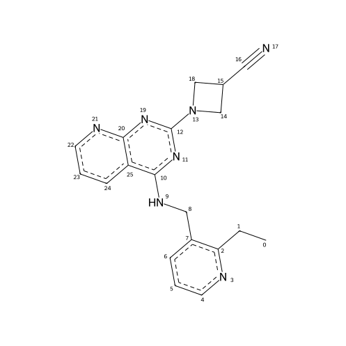 CCc1ncccc1CNc1nc(N2CC(C#N)C2)nc2ncccc12